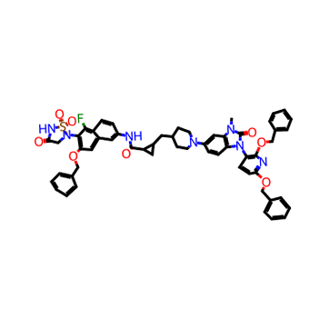 Cn1c(=O)n(-c2ccc(OCc3ccccc3)nc2OCc2ccccc2)c2ccc(N3CCC(CC4CC4C(=O)Nc4ccc5c(F)c(N6CC(=O)NS6(=O)=O)c(OCc6ccccc6)cc5c4)CC3)cc21